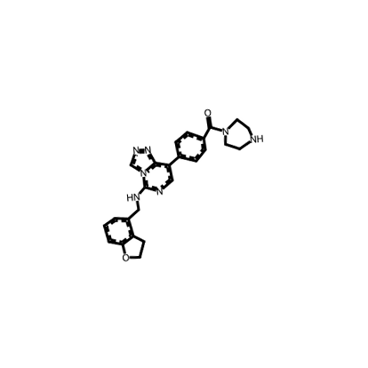 O=C(c1ccc(-c2cnc(NCc3cccc4c3CCO4)n3cnnc23)cc1)N1CCNCC1